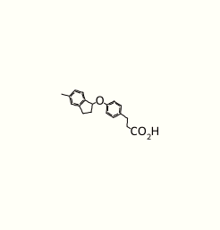 Cc1ccc2c(c1)CCC2Oc1ccc(CCC(=O)O)cc1